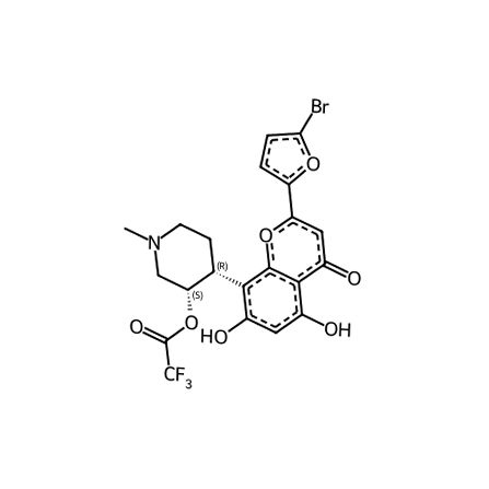 CN1CC[C@H](c2c(O)cc(O)c3c(=O)cc(-c4ccc(Br)o4)oc23)[C@H](OC(=O)C(F)(F)F)C1